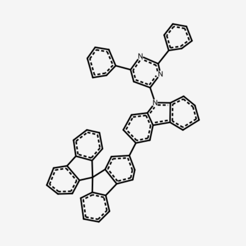 c1ccc(-c2cc(-n3c4ccccc4c4cc(-c5ccc6c(c5)C5(c7ccccc7-c7ccccc75)c5ccccc5-6)ccc43)nc(-c3ccccc3)n2)cc1